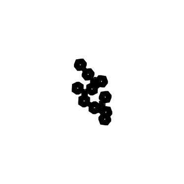 c1ccc(-c2ccc(-n3c4ccccc4c4ccc(N(c5ccccc5)c5cccc(-c6ccc7c8c9ccccc9ccc8n(-c8ccccc8)c7c6)c5)cc43)cc2)cc1